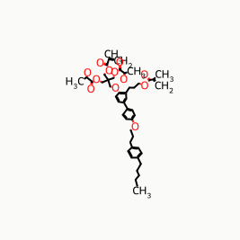 C=C(C)C(=O)OCCCc1cc(-c2ccc(OCCCc3ccc(CCCCCC)cc3)cc2)ccc1OCC(COC(=O)C(=C)C)(COC(=O)C(C)=O)COC(=O)C(C)=O